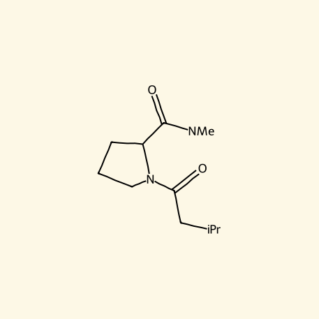 CNC(=O)C1CCCN1C(=O)CC(C)C